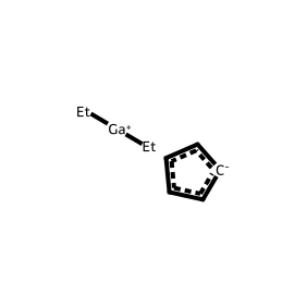 C[CH2][Ga+][CH2]C.c1cc[cH-]c1